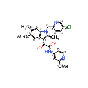 COc1cc(NC(=O)C(=O)c2c(C)n(Cc3ccc(Cl)cn3)c3cc(C)c(OC)cc23)ccn1